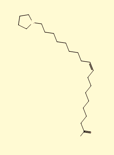 O=C(O)CCCCCCC/C=C\CCCCCCCCN1CCCC1